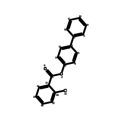 O=C(Oc1ccc(-c2cc[c]cc2)cc1)c1ccccc1Cl